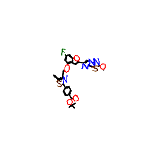 COc1nn2cc(-c3cc4c(OCc5nc(-c6ccc(C(=O)OC(C)(C)C)cc6)sc5C)cc(F)cc4o3)nc2s1